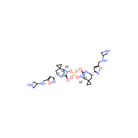 O=C1N2C[C@H](N1OS(=O)(=O)ON1C(=O)N3C[C@H]1C1(CC1)C[C@H]3c1cc(CNC3CNC3)on1)C1(CC1)C[C@H]2c1cc(CNC2CNC2)on1